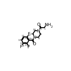 NCC(=O)N1CCN(C(=O)c2c(F)ccc(F)c2F)CC1